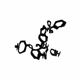 CN1CCC(Oc2cccc3ncnc(Nc4ccc5c(ccn5S(=O)(=O)c5ccccc5)c4)c23)CC1.Cl